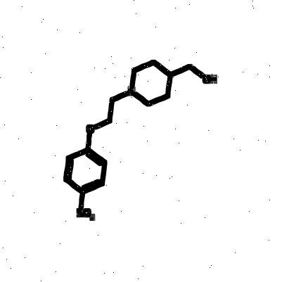 O=[N+]([O-])c1ccc(OCCN2CCC(CO)CC2)cc1